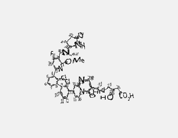 COc1nc(-c2cccc(-c3cccc(-c4ccn5c(=O)c(CNC[C@@H](O)CC(=O)O)cnc5c4)c3Cl)c2Cl)cc(F)c1CN(C)[C@H]1CCC(=O)N1